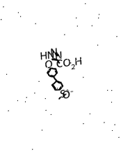 C[S+]([O-])c1ccc(-c2ccc(Oc3[nH]nnc3C(=O)O)cc2)cc1